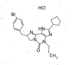 CCCN1C(=O)N2CC(Cc3ccc(Br)cc3)N=C2c2[nH]c(C3CCCC3)nc21.Cl